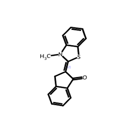 CN1/C(=C2\Cc3ccccc3C2=O)Sc2ccccc21